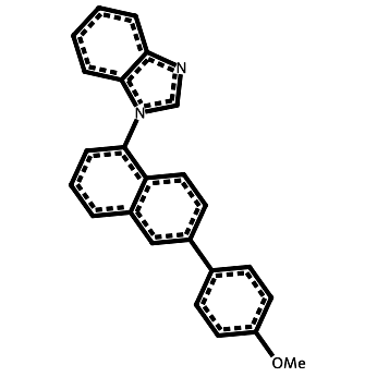 COc1ccc(-c2ccc3c(-n4cnc5ccccc54)cccc3c2)cc1